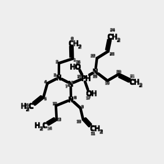 C=CCN(CC=C)N(N(CC=C)CC=C)[PH](O)(O)N(CC=C)CC=C